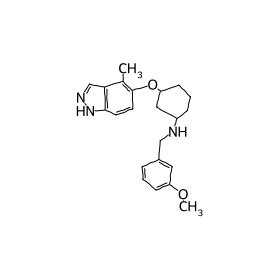 COc1cccc(CNC2CCCC(Oc3ccc4[nH]ncc4c3C)C2)c1